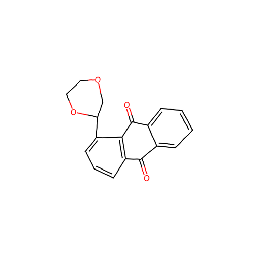 O=C1c2ccccc2C(=O)c2c1cccc2C1COCCO1